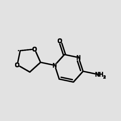 Nc1ccn(C2CO[CH]O2)c(=O)n1